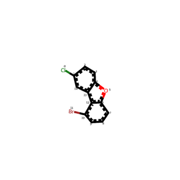 Clc1ccc2oc3cccc(Br)c3c2c1